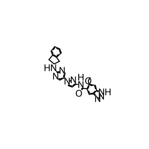 COc1cc2[nH]nnc2cc1C(=O)Nc1ccn(-c2cnc(NC3Cc4ccccc4C3)nc2)n1